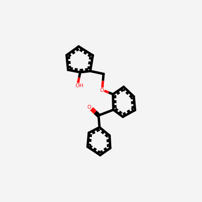 O=C(c1ccccc1)c1ccccc1OCc1ccccc1O